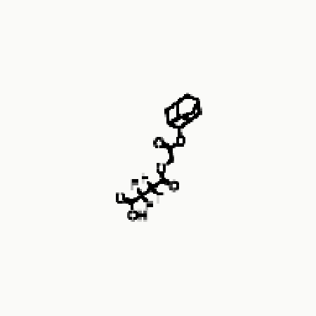 O=C(COC(=O)C(F)(F)C(F)(F)C(=O)O)OC1C2CC3CC(C2)CC1C3